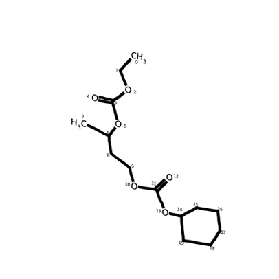 CCOC(=O)OC(C)CCOC(=O)OC1CCCCC1